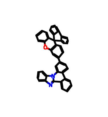 c1ccc2c(c1)Oc1cc(-c3ccc4c5ccccc5c5nc6ccccc6n5c4c3)ccc1C21c2ccccc2-c2ccccc21